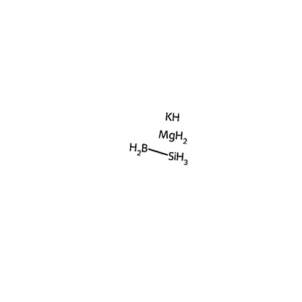 B[SiH3].[KH].[MgH2]